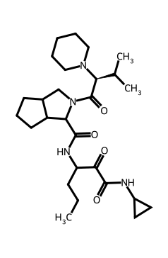 CCCC(NC(=O)C1C2CCCC2CN1C(=O)[C@H](C(C)C)N1CCCCC1)C(=O)C(=O)NC1CC1